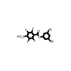 CC(C)c1cc(OC(=O)c2c(F)c(F)c(S(=O)(=O)O)c(F)c2F)cc(C(C)C)c1